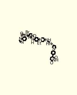 CCc1cc(Nc2ncc(Br)c(Nc3ccc4nccnc4c3P(C)(C)=O)n2)c(OC)cc1N1CCC(NCCNC[C@@H]2CCN(c3ccc(C4CCC(=O)NC4=O)cc3)C2)CC1